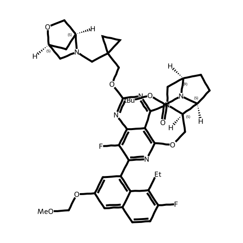 CCc1c(F)ccc2cc(OCOC)cc(-c3nc4c5c(nc(OCC6(CN7C[C@@H]8C[C@H]7CO8)CC6)nc5c3F)N3C[C@H]5CC[C@@H]([C@H]3CO4)N5C(=O)OC(C)(C)C)c12